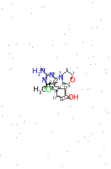 Cc1cc(N2CCCOC[C@@H]2C2(C)C=C(O)C=CC2Cl)nc(N)n1